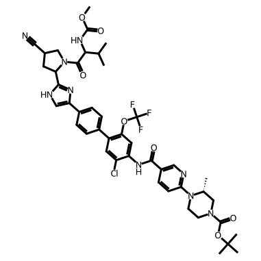 COC(=O)NC(C(=O)N1CC(C#N)CC1c1nc(-c2ccc(-c3cc(Cl)c(NC(=O)c4ccc(N5CCN(C(=O)OC(C)(C)C)C[C@H]5C)nc4)cc3OC(F)(F)F)cc2)c[nH]1)C(C)C